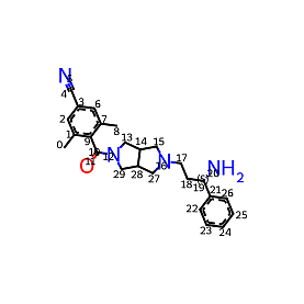 Cc1cc(C#N)cc(C)c1C(=O)N1CC2CN(CC[C@H](N)c3ccccc3)CC2C1